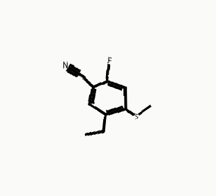 CCc1cc(C#N)c(F)cc1SC